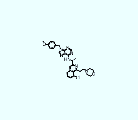 COc1ccc(Cn2cnc3c(N[C@@H](C)c4cc5cccc(Cl)c5c(CCN5CCOCC5)n4)ncnc32)cc1